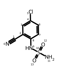 N#Cc1cc(Cl)ccc1NS(N)(=O)=O